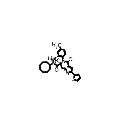 Cc1ccc(N2C(=O)c3cc(-c4cccs4)nn3CC2(C)C(=O)NC2CCCCCCC2)c(C)c1